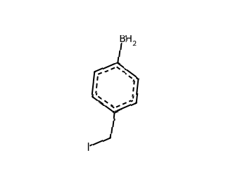 Bc1ccc(CI)cc1